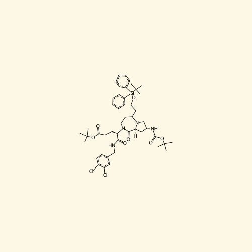 CC(C)(C)OC(=O)CC[C@H](C(=O)NCc1ccc(Cl)c(Cl)c1)N1CCC(CCO[Si](c2ccccc2)(c2ccccc2)C(C)(C)C)N2C[C@H](NC(=O)OC(C)(C)C)C[C@H]2C1=O